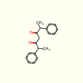 CC(C(=O)CC(=O)C(C)c1ccccc1)c1ccccc1